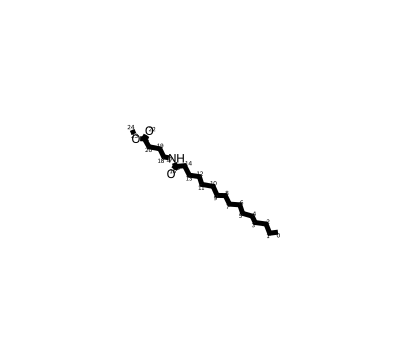 CCCCCCCCCCCCCCCC(=O)NCCCC(=O)OC